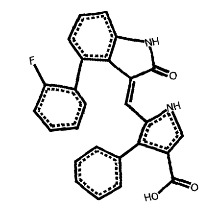 O=C1Nc2cccc(-c3ccccc3F)c2/C1=C/c1[nH]cc(C(=O)O)c1-c1ccccc1